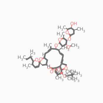 CC[C@@H](C)[C@H]1O[C@]2(C=C[C@@H]1C)C[C@@H]1C[C@@H](C/C=C(\C)[C@@H](O[C@H]3C[C@H](OC)[C@@H](OC4C[C@H](C)[C@H](O)[C@H](C)O4)[C@H](C)O3)[C@@H](C)/C=C/C=C3\CO[C@@H]4[C@H](O[Si](C)(C)C(C)(C)C)C(C)=C[C@@H](C(=O)O1)[C@]34O)O2